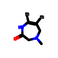 CCC1=C(CC)NC(=O)CN(C)C1